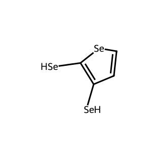 [SeH]c1cc[se]c1[SeH]